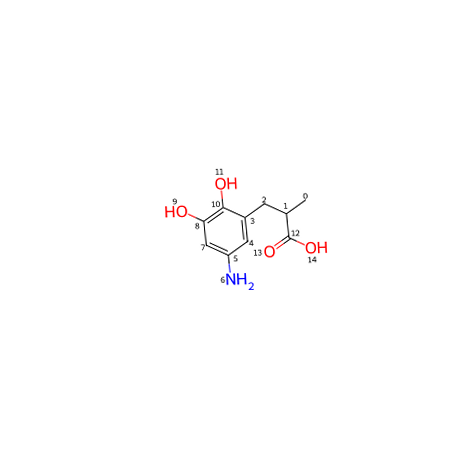 CC(Cc1cc(N)cc(O)c1O)C(=O)O